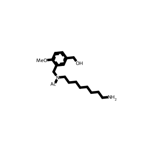 COc1ccc(CO)cc1CN(CCCCCCCCN)C(C)=O